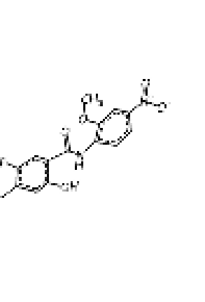 COc1cc([N+](=O)[O-])ccc1NC(=O)c1cc(F)c(F)cc1O